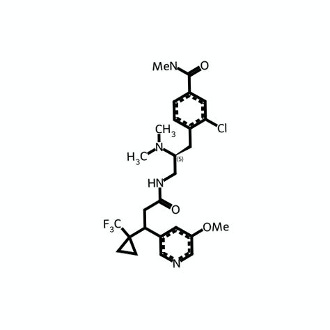 CNC(=O)c1ccc(C[C@@H](CNC(=O)CC(c2cncc(OC)c2)C2(C(F)(F)F)CC2)N(C)C)c(Cl)c1